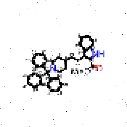 COC(=O)c1[nH]c2ccccc2c1CCC1CCN(C(c2ccccc2)(c2ccccc2)c2ccccc2)CC1